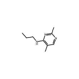 CCCNc1nc(C)ncc1C